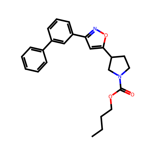 CCCCOC(=O)N1CCC(c2cc(-c3cccc(-c4ccccc4)c3)no2)C1